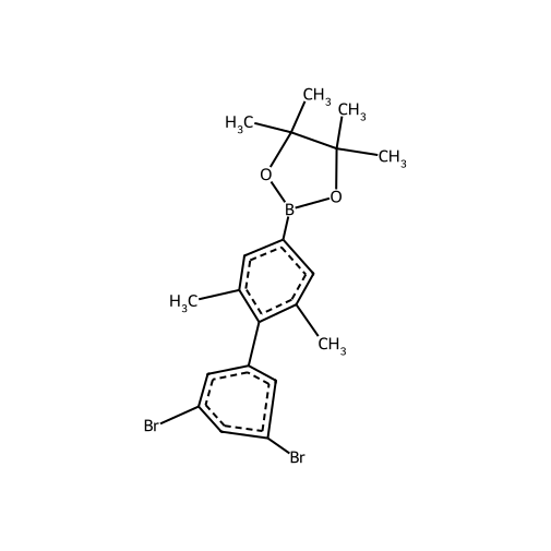 Cc1cc(B2OC(C)(C)C(C)(C)O2)cc(C)c1-c1cc(Br)cc(Br)c1